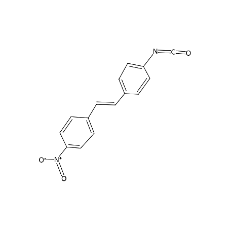 O=C=Nc1ccc(/C=C/c2ccc([N+](=O)[O-])cc2)cc1